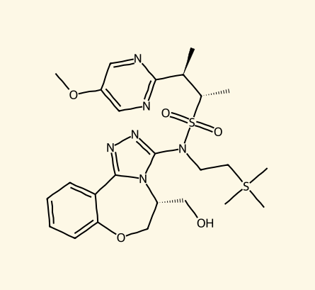 COc1cnc([C@@H](C)[C@H](C)S(=O)(=O)N(CCS(C)(C)C)c2nnc3n2[C@H](CO)COc2ccccc2-3)nc1